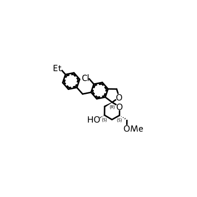 CCc1ccc(Cc2cc3c(cc2Cl)CO[C@@]32C[C@@H](O)C[C@@H](COC)O2)cc1